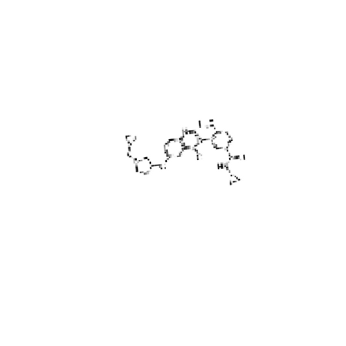 Cc1ccc(C(=O)NC2CC2)cc1-n1cnc2ccc(O[C@H]3CCN(CC4CC4)C3)cc2c1=O